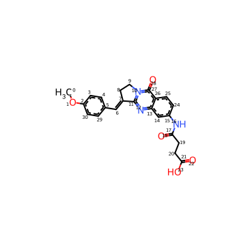 COc1ccc(C=C2CCn3c2nc2cc(NC(=O)CCC(=O)O)ccc2c3=O)cc1